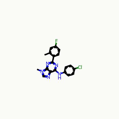 Cc1cc(F)ccc1-c1nc(Nc2ccc(Cl)cc2)c2ncn(C)c2n1